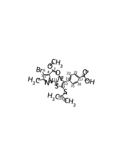 COC(=O)c1c(Br)c(C)nn1-c1nc(-c2ccc(C(=O)O)cc2)c(SC(C)C)s1